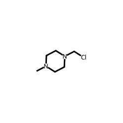 CN1CCN(CCl)CC1